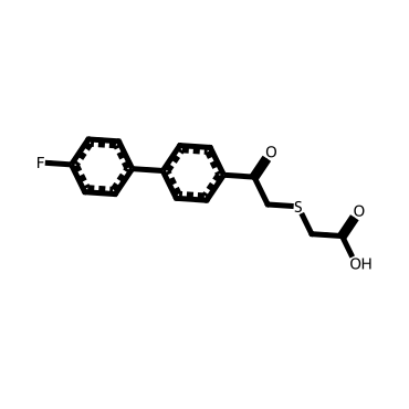 O=C(O)CSCC(=O)c1ccc(-c2ccc(F)cc2)cc1